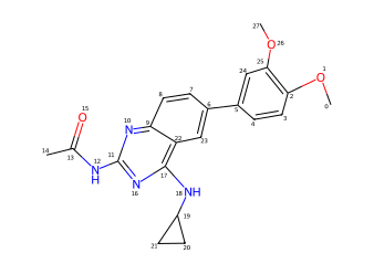 COc1ccc(-c2ccc3nc(NC(C)=O)nc(NC4CC4)c3c2)cc1OC